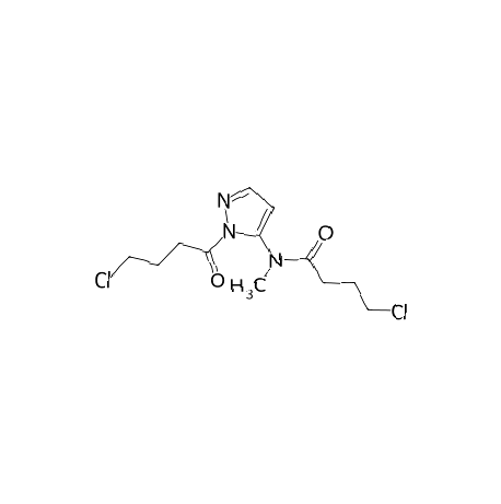 CN(C(=O)CCCCl)c1ccnn1C(=O)CCCCl